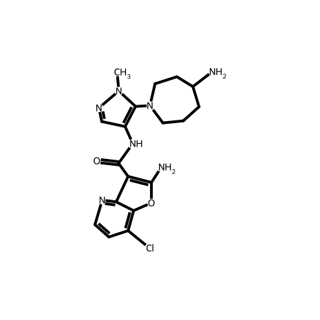 Cn1ncc(NC(=O)c2c(N)oc3c(Cl)ccnc23)c1N1CCCC(N)CC1